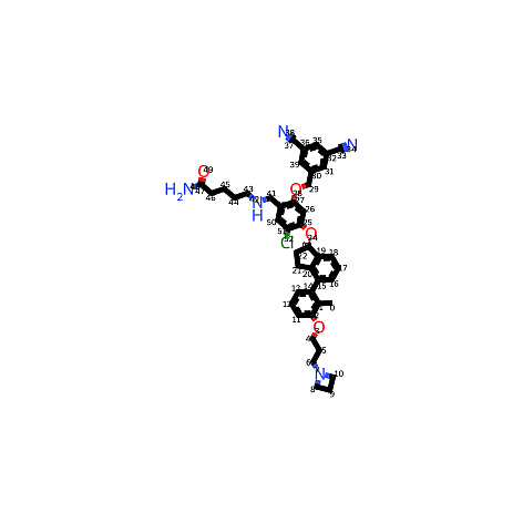 Cc1c(OCCCN2CCC2)cccc1-c1cccc2c1CC[C@@H]2Oc1cc(OCc2cc(C#N)cc(C#N)c2)c(CNCCCCC(N)=O)cc1Cl